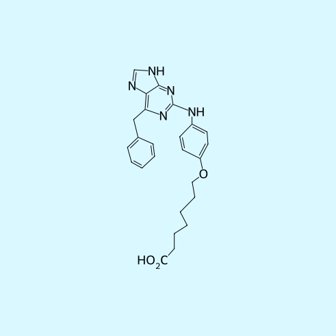 O=C(O)CCCCCCOc1ccc(Nc2nc(Cc3ccccc3)c3nc[nH]c3n2)cc1